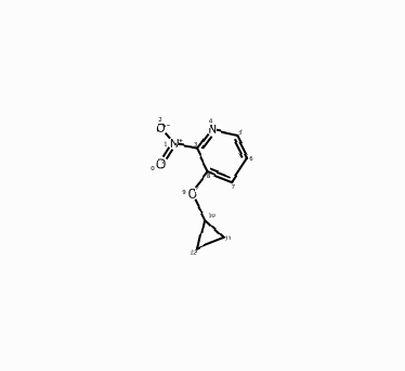 O=[N+]([O-])c1ncccc1OC1CC1